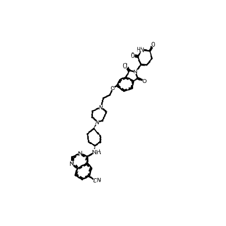 N#Cc1ccc2ncnc(N[C@H]3CC[C@H](N4CCN(CCOc5ccc6c(c5)C(=O)N(C5CCC(=O)NC5=O)C6=O)CC4)CC3)c2c1